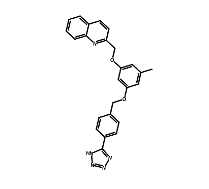 Cc1cc(OCc2ccc(-c3nnn[nH]3)cc2)cc(OCc2ccc3ccccc3n2)c1